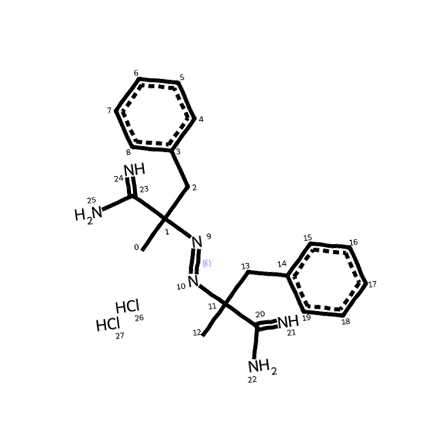 CC(Cc1ccccc1)(/N=N/C(C)(Cc1ccccc1)C(=N)N)C(=N)N.Cl.Cl